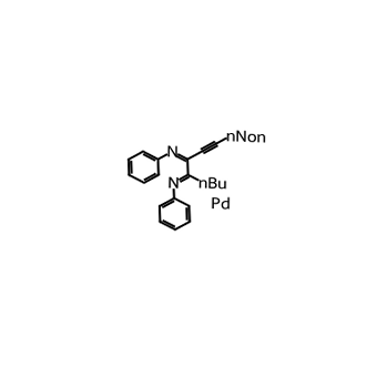 CCCCCCCCCC#CC(=Nc1ccccc1)C(CCCC)=Nc1ccccc1.[Pd]